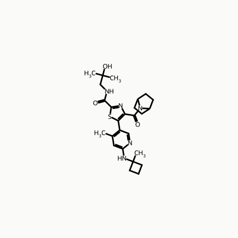 Cc1cc(NC2(C)CCC2)ncc1-c1sc(C(=O)NCC(C)(C)O)nc1C(=O)N1C2CCC1CC2